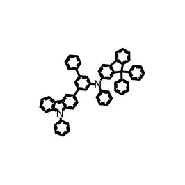 c1ccc(-c2cc(-c3ccc4c(c3)c3ccccc3n4-c3ccccc3)cc(N(c3ccccc3)c3ccc4c(c3)C(c3ccccc3)(c3ccccc3)c3ccccc3-4)c2)cc1